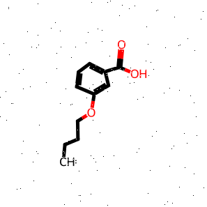 [CH]CCCOc1cccc(C(=O)O)c1